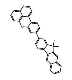 CC1(C)c2cc(-c3ccc4c(c3)Sc3cccc5cccc-4c35)ccc2-c2cc3ccccc3cc21